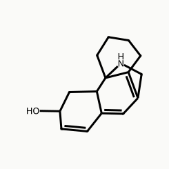 OC1C=CC2=CC3=C4CCCCC4(NC3)C2C1